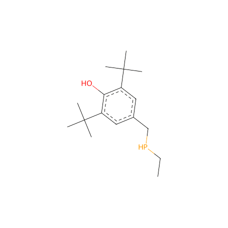 CCPCc1cc(C(C)(C)C)c(O)c(C(C)(C)C)c1